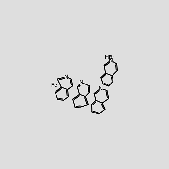 Br.[Fe].c1ccc2cnccc2c1.c1ccc2cnccc2c1.c1ccc2cnccc2c1.c1ccc2cnccc2c1